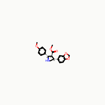 COC(=O)[C@@H]1[C@@H](c2ccc(OC)cc2)NC[C@H]1c1ccc2c(c1)OCO2